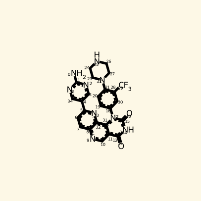 Nc1ncc(-c2ccc3ncc4c(=O)[nH]c(=O)n(-c5ccc(N6CCNCC6)c(C(F)(F)F)c5)c4c3n2)cn1